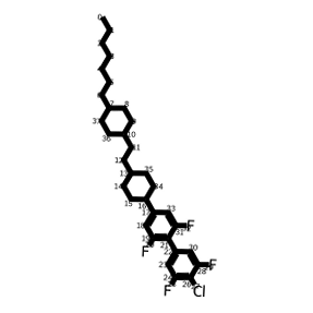 CCCCCCCC1CCC(CCC2CCC(c3cc(F)c(-c4cc(F)c(Cl)c(F)c4)c(F)c3)CC2)CC1